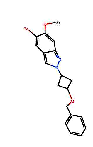 CC(C)Oc1cc2nn(C3CC(OCc4ccccc4)C3)cc2cc1Br